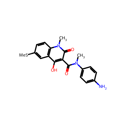 CSc1ccc2c(c1)c(O)c(C(=O)N(C)c1ccc(N)cc1)c(=O)n2C